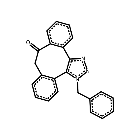 O=C1Cc2ccccc2-c2c(nnn2Cc2ccccc2)-c2ccccc21